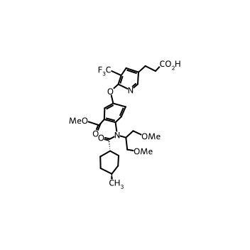 COCC(COC)N(c1ccc(Oc2ncc(CCC(=O)O)cc2C(F)(F)F)cc1C(=O)OC)C(=O)[C@H]1CC[C@H](C)CC1